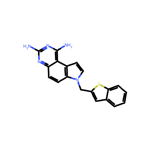 Nc1nc(N)c2c(ccc3c2ccn3Cc2cc3ccccc3s2)n1